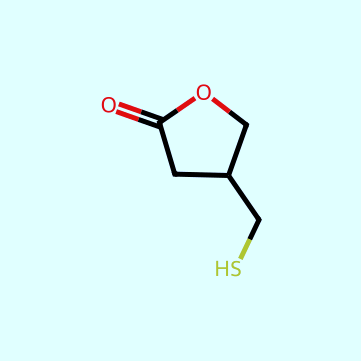 O=C1CC(CS)CO1